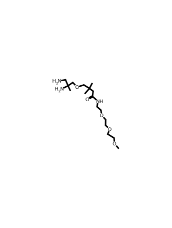 COCCOCCOCCNC(=O)CC(C)(C)COCC(C)(N)CN